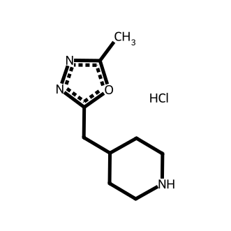 Cc1nnc(CC2CCNCC2)o1.Cl